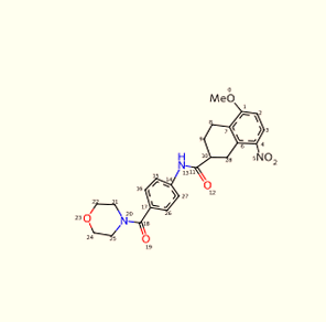 COc1ccc([N+](=O)[O-])c2c1CCC(C(=O)Nc1ccc(C(=O)N3CCOCC3)cc1)C2